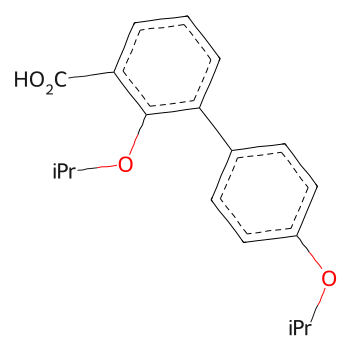 CC(C)Oc1ccc(-c2cccc(C(=O)O)c2OC(C)C)cc1